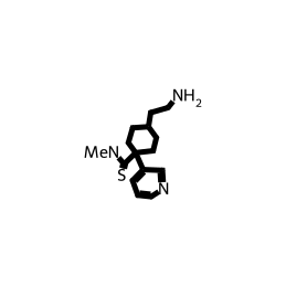 CNC(=S)C1(c2cccnc2)CCC(CCN)CC1